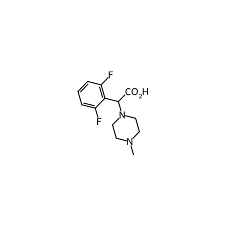 CN1CCN(C(C(=O)O)c2c(F)cccc2F)CC1